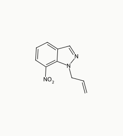 C=CCn1ncc2cccc([N+](=O)[O-])c21